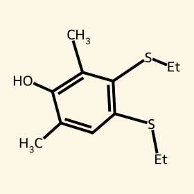 CCSc1cc(C)c(O)c(C)c1SCC